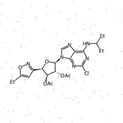 CCc1cc([C@H]2O[C@@H](n3cnc4c(NC(CC)CC)nc(Cl)nc43)[C@H](OC(C)=O)[C@H]2OC(C)=O)no1